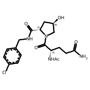 CC(=O)N[C@@H](CCC(N)=O)C(=O)N1C[C@H](O)C[C@H]1C(=O)NCc1ccc(Cl)cc1